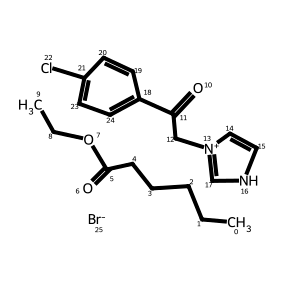 CCCCCC(=O)OCC.O=C(C[n+]1cc[nH]c1)c1ccc(Cl)cc1.[Br-]